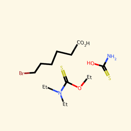 CCOC(=S)N(CC)CC.NC(O)=S.O=C(O)CCCCCBr